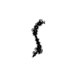 CCCC(=O)CCC(C(C)=O)N1C(=O)c2ccc(N3CC(N4CC(C#Cc5ccc6c(c5)CN([C@H]5CC[C@H](Oc7ccc(C#N)c(Cl)c7)CC5)C6=O)C4)C3)cc2C1=O